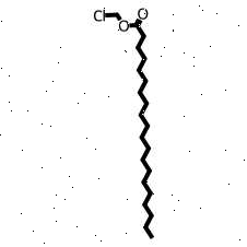 CCCCCCCCCCCCCCCCCCCC(=O)OCCl